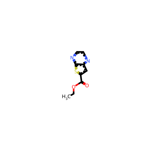 CCOC(=O)c1cc2nccnc2s1